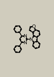 c1ccc(-c2cc(-c3ccccc3)nc(-n3c4ccccc4c4ccc5occc5c43)n2)cc1